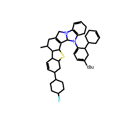 CC1CC2=C(C3SC4CC(C5CCC(F)CC5)C=CC4C13)C1N(C2)C2=C(CCC=C2)N1C1=CC=C(C(C)(C)C)CC1C1CC=CCC1